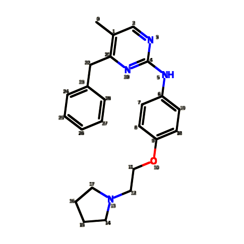 Cc1cnc(Nc2ccc(OCCN3CCCC3)cc2)nc1Cc1ccccc1